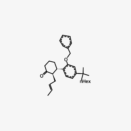 C/C=C/C[C@H]1C(=O)CCC[C@@H]1c1ccc(C(C)(C)CCCCCC)cc1OCc1ccccc1